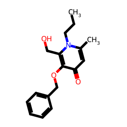 CCCn1c(C)cc(=O)c(OCc2ccccc2)c1CO